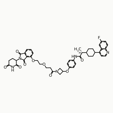 C[C@@H](C(=O)Nc1ccc(OC2CN(C(=O)CCOCCOc3cccc4c3C(=O)N(C3CCC(=O)NC3=O)C4=O)C2)cc1)C1CCC(c2ccnc3ccc(F)cc23)CC1